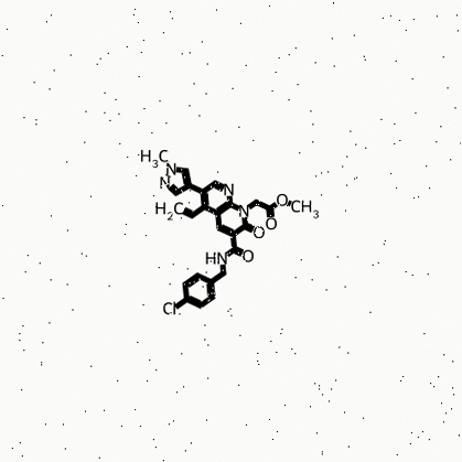 C=Cc1c(-c2cnn(C)c2)cnc2c1cc(C(=O)NCc1ccc(Cl)cc1)c(=O)n2CC(=O)OC